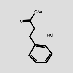 COC(=O)CCc1ccccc1.Cl